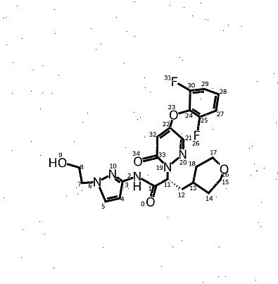 O=C(Nc1ccn(CCO)n1)[C@@H](CC1CCOCC1)n1ncc(Oc2c(F)cccc2F)cc1=O